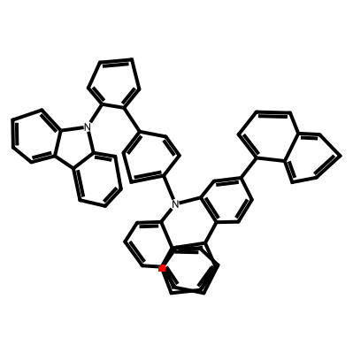 c1ccc(-c2ccc(-c3cccc4ccccc34)cc2N(c2ccc(-c3ccccc3-n3c4ccccc4c4ccccc43)cc2)c2cccc3ccccc23)cc1